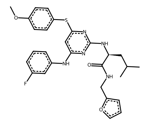 COc1ccc(Sc2cc(Nc3cccc(F)c3)nc(N[C@@H](CC(C)C)C(=O)NCc3ccco3)n2)cc1